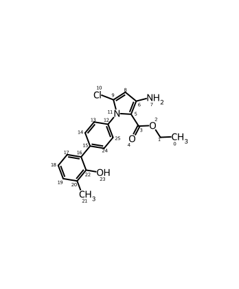 CCOC(=O)c1c(N)cc(Cl)n1-c1ccc(-c2cccc(C)c2O)cc1